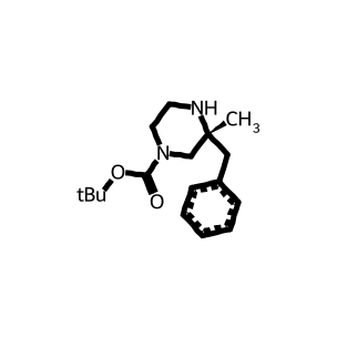 CC(C)(C)OC(=O)N1CCN[C@](C)(Cc2ccccc2)C1